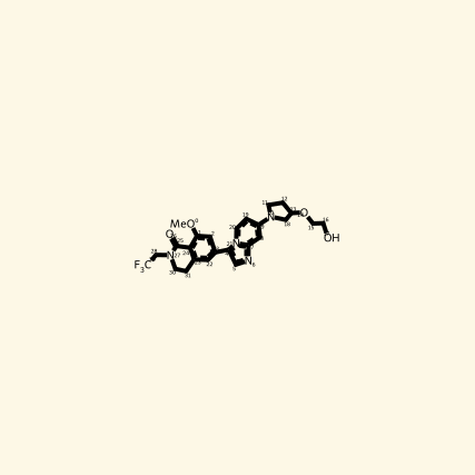 COc1cc(-c2cnc3cc(N4CCC(OCCO)C4)ccn23)cc2c1C(=O)N(CC(F)(F)F)CC2